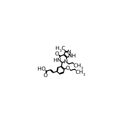 CCCOc1ccc(C=CC(=O)O)cc1C1NC(=O)c2c(C)n[nH]c2N1CCC